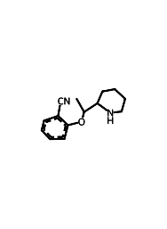 CC(Oc1ccccc1C#N)C1CCCCN1